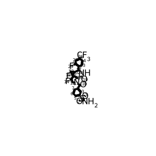 NS(=O)(=O)c1cccc(C(=O)N2CC(F)(F)C[C@@H]2C(=O)NC(c2ccc(C(F)(F)F)cc2F)C2CC2)c1